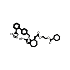 CCCc1nc2c(n1Cc1ccc(-c3ccccc3-c3nnn[nH]3)cc1)C(=CC(=O)OCCOC(=O)C1CCCCC1)CCCC2